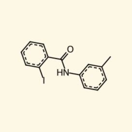 Cc1cccc(NC(=O)c2ccccc2I)c1